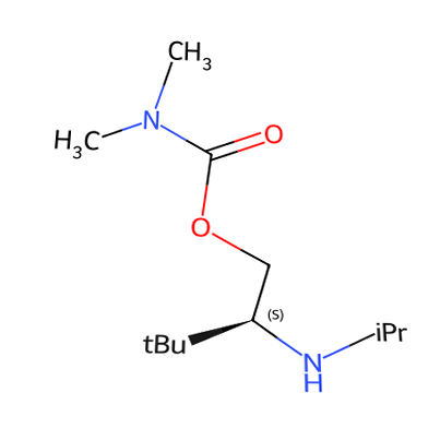 CC(C)N[C@H](COC(=O)N(C)C)C(C)(C)C